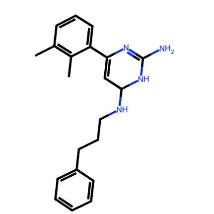 Cc1cccc(C2=CC(NCCCc3ccccc3)NC(N)=N2)c1C